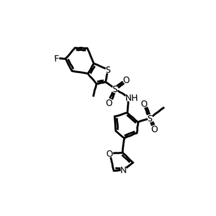 Cc1c(S(=O)(=O)Nc2ccc(-c3cnco3)cc2S(C)(=O)=O)sc2ccc(F)cc12